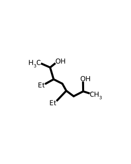 CCC(CC(C)O)CC(CC)C(C)O